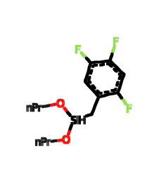 CCCO[SiH](Cc1cc(F)c(F)cc1F)OCCC